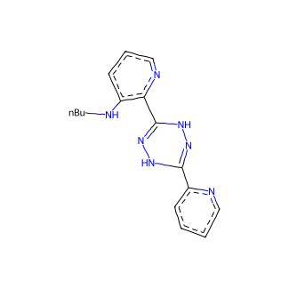 CCCCNc1cccnc1C1=NNC(c2ccccn2)=NN1